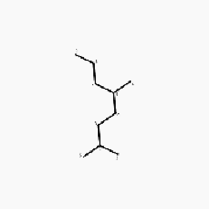 [CH2]C(C)CCC(C)CCC